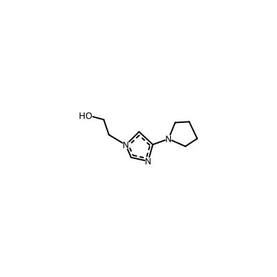 OCCn1cnc(N2CCCC2)c1